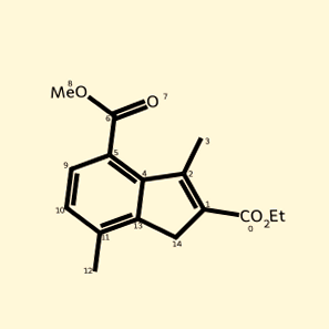 CCOC(=O)C1=C(C)c2c(C(=O)OC)ccc(C)c2C1